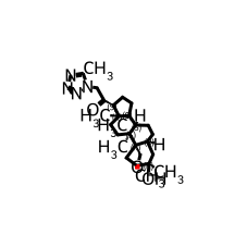 COC[C@]12CC[C@@](C)(O)C[C@H]1CC[C@@H]1[C@]2(C)CC[C@]2(C)[C@@H](C(=O)Cn3nnnc3C)CC[C@@]12C